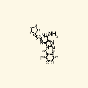 Nc1nc(SC2CCCC2)nc2c1ncn2Cc1c(F)cccc1F